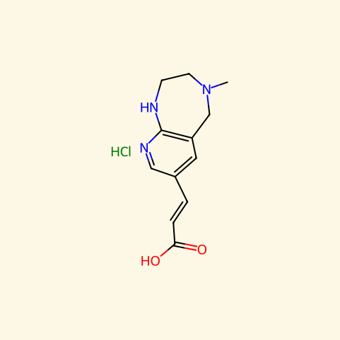 CN1CCNc2ncc(/C=C/C(=O)O)cc2C1.Cl